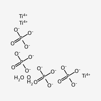 O.O.O=P([O-])([O-])[O-].O=P([O-])([O-])[O-].O=P([O-])([O-])[O-].O=P([O-])([O-])[O-].[Ti+4].[Ti+4].[Ti+4]